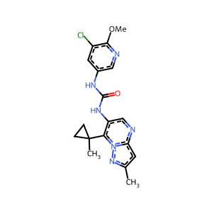 COc1ncc(NC(=O)Nc2cnc3cc(C)nn3c2C2(C)CC2)cc1Cl